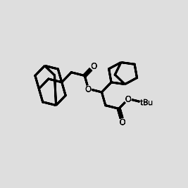 CC(C)(C)OC(=O)CC(OC(=O)CC12CC3CC(CC(C3)C1)C2)C1CC2CCC1C2